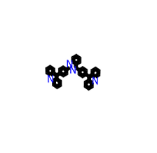 c1ccc2c(-c3ccc(-c4c5ccccc5nc5ccccc45)cc3)nc(-c3ccc(-c4c5ccccc5nc5ccccc45)cc3)nc2c1